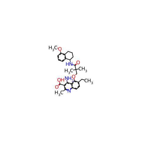 CCc1ccc2nc(C)c(C(=O)O)c(N)c2c1OCC(C)(C)C(=O)NC1CCCc2c(OC)cccc21